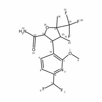 COc1nc(C(F)F)ccc1C1C(C(N)=O)OC(C)(C(F)(F)F)C1C